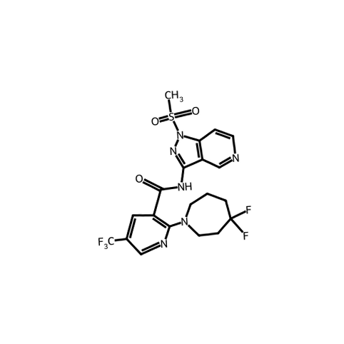 CS(=O)(=O)n1nc(NC(=O)c2cc(C(F)(F)F)cnc2N2CCCC(F)(F)CC2)c2cnccc21